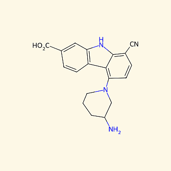 N#Cc1ccc(N2CCCC(N)C2)c2c1[nH]c1cc(C(=O)O)ccc12